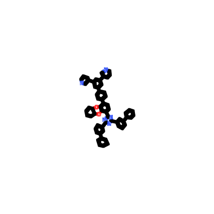 C1=CC2Oc3c(-c4ccc(-c5cc(-c6cccnc6)cc(-c6cccnc6)c5)cc4)ccc(-c4nc(-c5cccc(-c6ccccc6)c5)nc(-c5cccc(-c6ccccc6)c5)n4)c3OC2C=C1